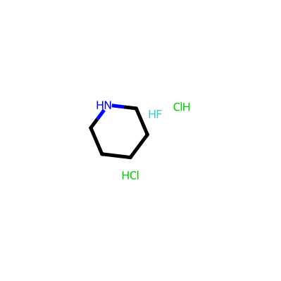 C1CCNCC1.Cl.Cl.F